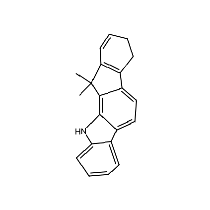 CC1(C)C2=C(CCC=C2)c2ccc3c([nH]c4ccccc43)c21